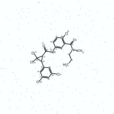 CCCN(C)C(=O)c1cc(NC(=O)C2C(c3cc(Cl)cc(Cl)c3)C2(Cl)Cl)ccc1Cl